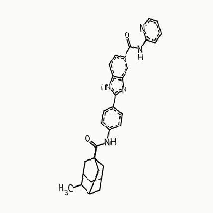 CC1C2CC3CC1CC(C(=O)Nc1ccc(-c4nc5cc(C(=O)Nc6ccccn6)ccc5[nH]4)cc1)(C3)C2